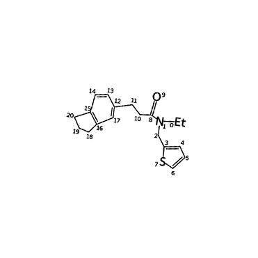 CCN(Cc1cccs1)C(=O)CCc1ccc2c(c1)CCC2